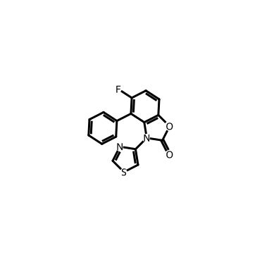 O=c1oc2ccc(F)c(-c3ccccc3)c2n1-c1cscn1